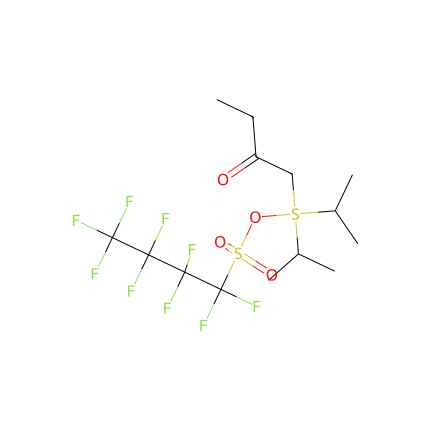 CCC(=O)CS(OS(=O)(=O)C(F)(F)C(F)(F)C(F)(F)C(F)(F)F)(C(C)C)C(C)C